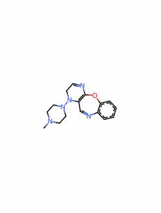 CN1CCN(N2CC=NC3=C2C=Nc2ccccc2O3)CC1